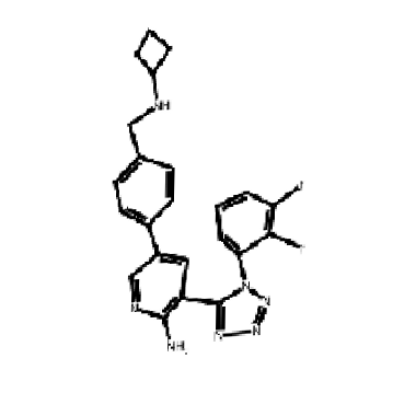 Nc1ncc(-c2ccc(CNC3CCC3)cc2)cc1-c1nnnn1-c1cccc(F)c1F